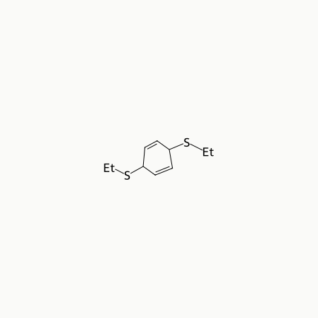 CCSC1C=CC(SCC)C=C1